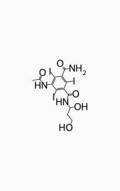 CC(=O)Nc1c(I)c(C(N)=O)c(I)c(C(=O)NC(O)CCO)c1I